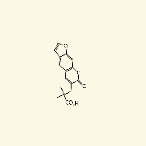 CC(C)(Cc1cc2cc3ccoc3cc2oc1=O)C(=O)O